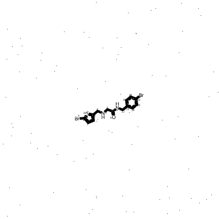 O=C(CNCc1ccc(Br)s1)NCc1ccc(Br)cc1